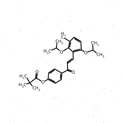 Cc1ccc(OC(C)C)c(C=CC(=O)c2ccc(OC(=O)C(C)(C)C)cc2)c1OC(C)C